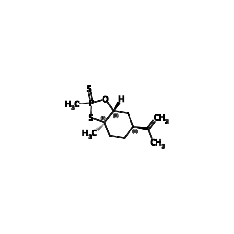 C=C(C)[C@H]1CC[C@@]2(C)SP(C)(=S)O[C@@H]2C1